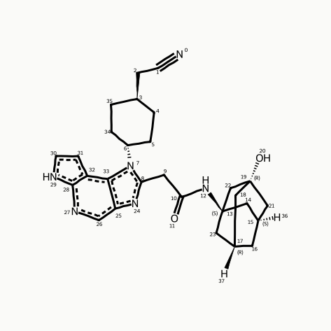 N#CC[C@H]1CC[C@H](n2c(CC(=O)N[C@]34C[C@@H]5C[C@@H](C[C@](O)(C5)C3)C4)nc3cnc4[nH]ccc4c32)CC1